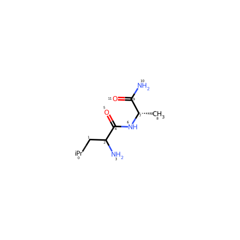 CC(C)CC(N)C(=O)N[C@@H](C)C(N)=O